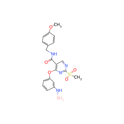 BNc1cccc(Oc2nc(S(C)(=O)=O)ncc2C(=O)NCc2ccc(OC)cc2)c1